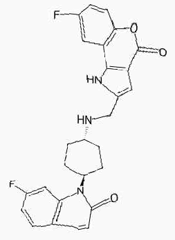 O=c1oc2ccc(F)cc2c2[nH]c(CN[C@H]3CC[C@H](n4c(=O)ccc5ccc(F)cc54)CC3)cc12